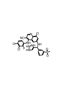 CS(=O)(=O)c1cccc([C@H](Nc2cc(Cl)c3ncc(C#N)c(Nc4ccc(Cl)c(Cl)c4F)c3c2)C2=CNNN2)c1